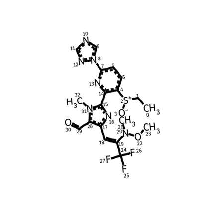 CC[S+]([O-])c1ccc(-n2cncn2)nc1-c1nc(/C=C(\N(C)OC)C(F)(F)F)c(C=O)n1C